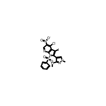 COc1nn(C)cc1-c1c(I)c2c(Cl)c([N+](=O)[O-])cnc2n1S(=O)(=O)c1ccccc1